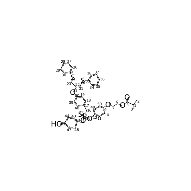 C=C(C)C(=O)OCCOc1ccc(OP(=S)(Cc2ccc(OC(CSc3ccccc3)CSc3ccccc3)cc2)Oc2ccc(O)cc2)cc1